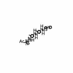 CC(=O)Cc1nsc(NN(C)c2ccc(NNc3ccc(NNc4ccc(N5CCCC5)s4)cc3C)cc2C)n1